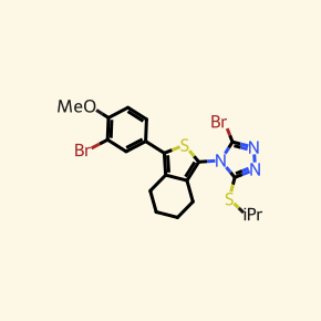 COc1ccc(-c2sc(-n3c(Br)nnc3SC(C)C)c3c2CCCC3)cc1Br